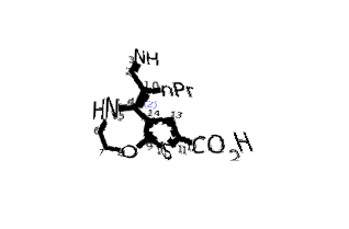 CCC/C(C=N)=C1/NCCOc2sc(C(=O)O)cc21